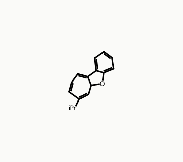 CC(C)C1=CC2Oc3ccccc3C2=CC=C1